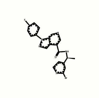 C[C@H](NC(=O)c1cncc2c1cnn2-c1ccc(F)cc1)c1ccnc(Br)c1